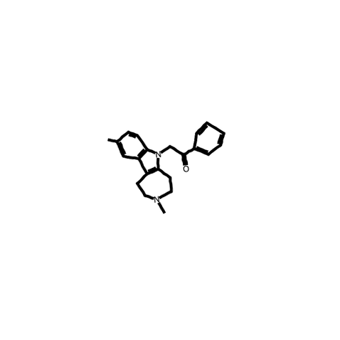 Cc1ccc2c(c1)c1c(n2CC(=O)c2ccccc2)CCN(C)CC1